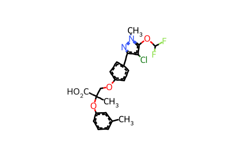 Cc1cccc(OC(C)(COc2ccc(-c3nn(C)c(OC(F)F)c3Cl)cc2)C(=O)O)c1